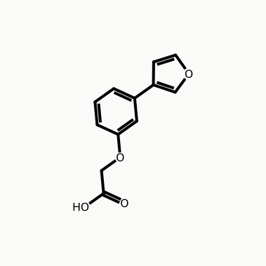 O=C(O)COc1cccc(-c2ccoc2)c1